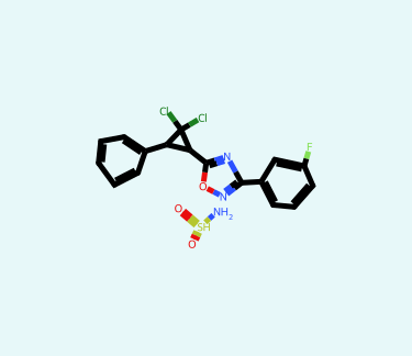 Fc1cccc(-c2noc(C3C(c4ccccc4)C3(Cl)Cl)n2)c1.N[SH](=O)=O